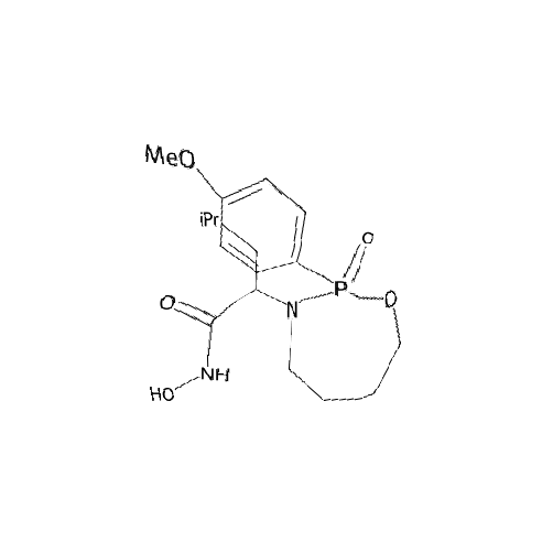 COc1ccc(P2(=O)OCCCCN2C(CC(C)C)C(=O)NO)cc1